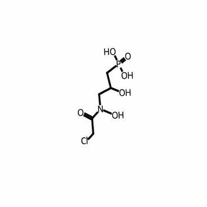 O=C(CCl)N(O)CC(O)CP(=O)(O)O